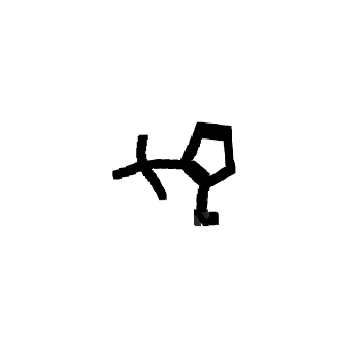 CC(C)(C)C1=[C]([Na])CC=C1